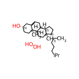 CC(C)CCCC(C)[C@H]1CC[C@H]2[C@@H]3CC=C4C[C@@H](O)CC[C@]4(C)[C@H]3CC[C@]12C.OO